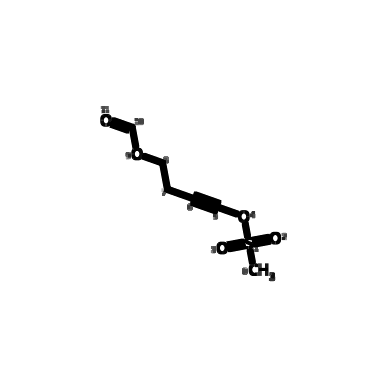 CS(=O)(=O)OC#CCCOC=O